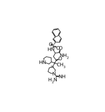 CC(C(=O)CC(NS(=O)(=O)c1ccc2ccccc2c1)C(N)=O)(C1CCCNC1)[C@@H]1CCCN(C(=N)N)C1